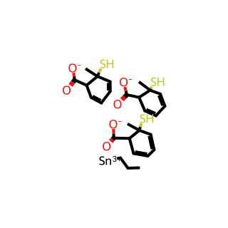 CC1(S)C=CC=CC1C(=O)[O-].CC1(S)C=CC=CC1C(=O)[O-].CC1(S)C=CC=CC1C(=O)[O-].CC[CH2][Sn+3]